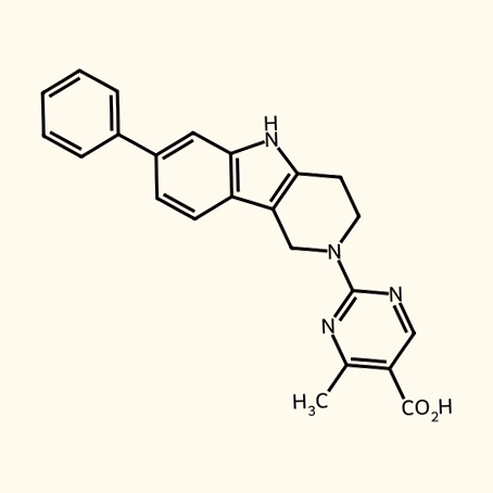 Cc1nc(N2CCc3[nH]c4cc(-c5ccccc5)ccc4c3C2)ncc1C(=O)O